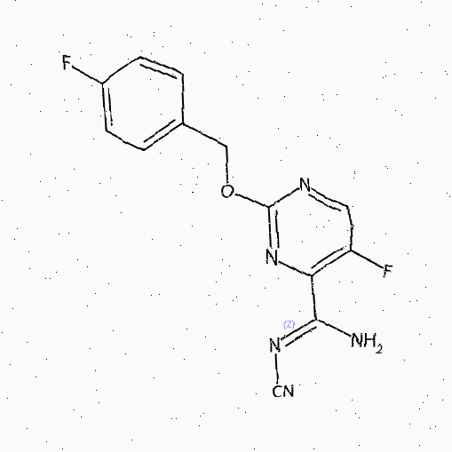 N#C/N=C(\N)c1nc(OCc2ccc(F)cc2)ncc1F